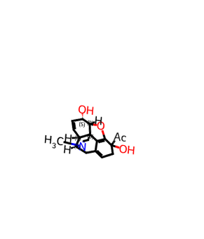 [CH2]C(=O)C1(O)CC=C2C[C@@H]3[C@@H]4C=C[C@H](O)[C@@H]5OC1=C2[C@]45CCN3C